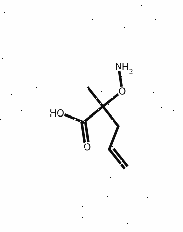 C=CCC(C)(ON)C(=O)O